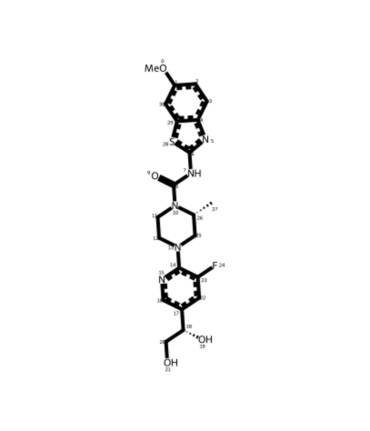 COc1ccc2nc(NC(=O)N3CCN(c4ncc([C@H](O)CO)cc4F)C[C@H]3C)sc2c1